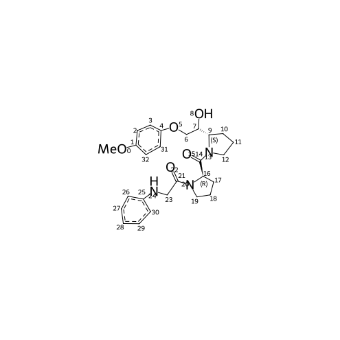 COc1ccc(OCC(O)[C@@H]2CCCN2C(=O)[C@H]2CCCN2C(=O)CNc2ccccc2)cc1